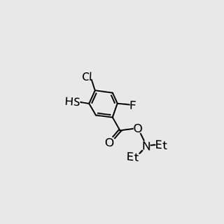 CCN(CC)OC(=O)c1cc(S)c(Cl)cc1F